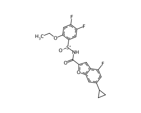 CCOc1cc(F)c(F)cc1[S+]([O-])NC(=O)c1cc2c(F)cc(C3CC3)cc2o1